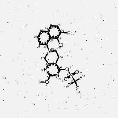 COc1nc2c(c(OS(=O)(=O)C(F)(F)F)n1)CCN(c1cccc3ccc(F)c(Cl)c13)C2